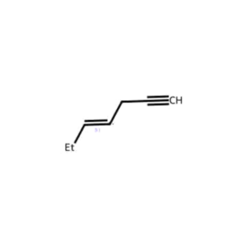 C#CC/[C]=C/CC